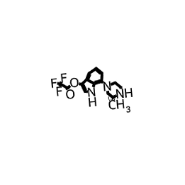 C[C@H]1CN(c2cccc3c(OC(=O)C(F)(F)F)c[nH]c23)CCN1